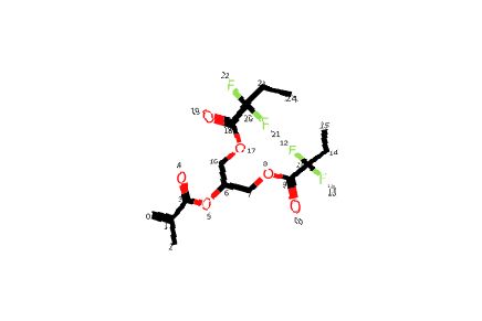 C=C(C)C(=O)OC(COC(=O)C(F)(F)CC)COC(=O)C(F)(F)CC